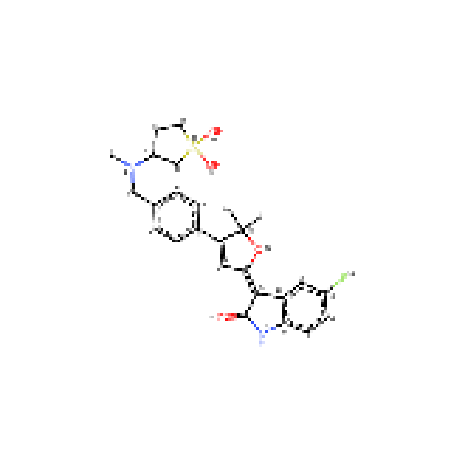 CN(Cc1ccc(C2=C/C(=C3\C(=O)Nc4ccc(F)cc43)OC2(C)C)cc1)C1CCS(O)(O)C1